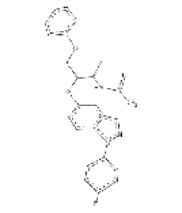 CC(NC(=O)C(F)(F)F)C(COc1ccccc1)Oc1ccc2c(cnn2-c2ccc(F)cc2)c1